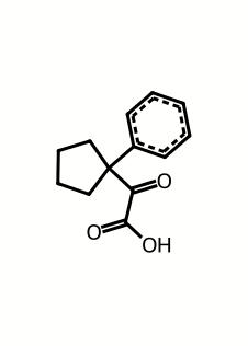 O=C(O)C(=O)C1(c2ccccc2)CCCC1